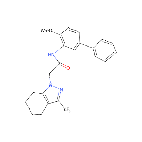 COc1ccc(-c2ccccc2)cc1NC(=O)Cn1nc(C(F)(F)F)c2c1CCCC2